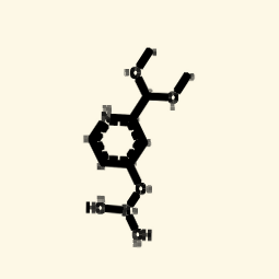 COC(OC)c1cc(OB(O)O)ccn1